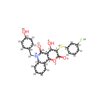 O=c1oc2c(c(O)c1Sc1cccc(F)c1)c(=O)n(Cc1ccc(O)cc1)c1ccccc21